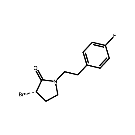 O=C1[C@@H](Br)CCN1CCc1ccc(F)cc1